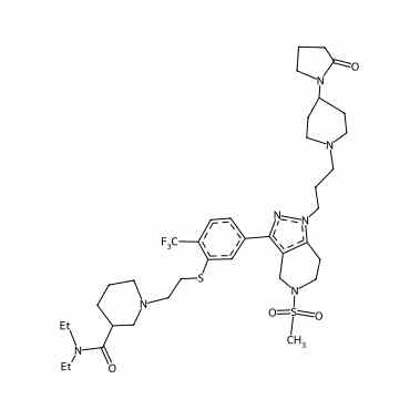 CCN(CC)C(=O)C1CCCN(CCSc2cc(-c3nn(CCCN4CCC(N5CCCC5=O)CC4)c4c3CN(S(C)(=O)=O)CC4)ccc2C(F)(F)F)C1